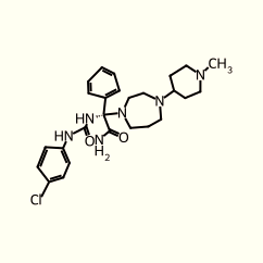 CN1CCC(N2CCCN([C@@](NC(=O)Nc3ccc(Cl)cc3)(C(N)=O)c3ccccc3)CC2)CC1